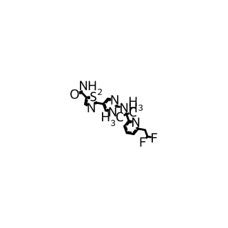 CC(C)(Nc1ncc(-c2ncc(C(N)=O)s2)cn1)c1cccc(CC(F)F)n1